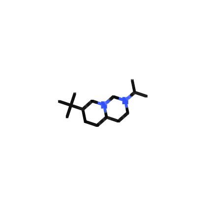 CC(C)N1CCC2CCC(C(C)(C)C)CN2C1